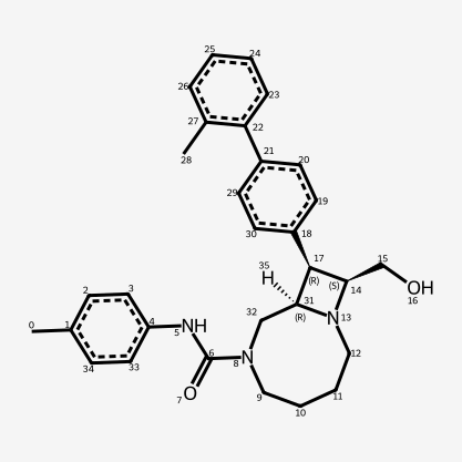 Cc1ccc(NC(=O)N2CCCCN3[C@H](CO)[C@H](c4ccc(-c5ccccc5C)cc4)[C@@H]3C2)cc1